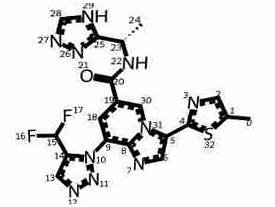 Cc1cnc(-c2cnc3c(-n4nncc4C(F)F)cc(C(=O)N[C@@H](C)c4nnc[nH]4)cn23)s1